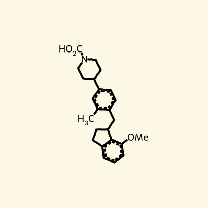 COc1cccc2c1C(Cc1ccc(C3CCN(C(=O)O)CC3)cc1C)CC2